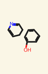 C1=CN=CCC1.Oc1ccccc1